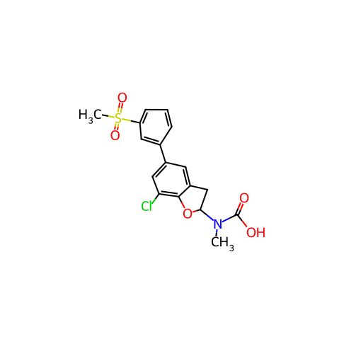 CN(C(=O)O)C1Cc2cc(-c3cccc(S(C)(=O)=O)c3)cc(Cl)c2O1